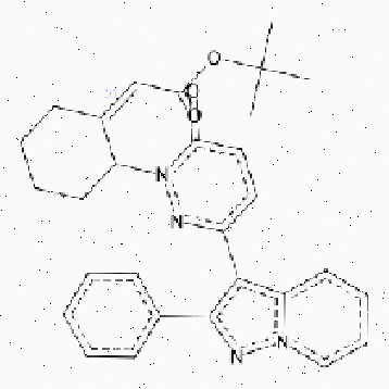 CC(C)(C)OC(=O)/C=C1/CCCCC1n1nc(-c2c(-c3ccccc3)nn3ccccc23)ccc1=O